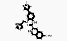 COc1ccc2c(c1)C[C@H](C(=O)Nc1ccc(-c3cn[nH]c3)cc1OCc1cnc[nH]1)NC2